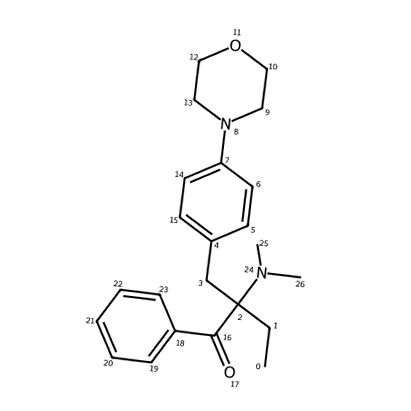 CCC(Cc1ccc(N2CCOCC2)cc1)(C(=O)c1ccccc1)N(C)C